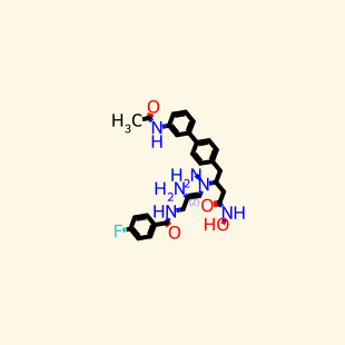 CC(=O)Nc1cccc(-c2ccc(CC(CC(=O)NO)N(N)/C=C(\N)CNC(=O)c3ccc(F)cc3)cc2)c1